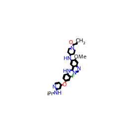 C=CC(=O)N1CCC(Nc2cc3c(Nc4ccc(Oc5ccnc(NC(C)C)c5)cc4F)ncnc3cc2OC)CC1